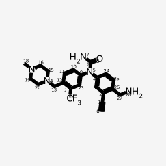 C#Cc1cc(N(C(N)=O)c2ccc(CN3CCN(C)CC3)c(C(F)(F)F)c2)ccc1CN